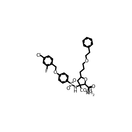 NC(=O)C1OC(CCCOCCc2ccccc2)CC1(NS(=O)(=O)c1ccc(OCc2ccc(Cl)cc2F)cc1)C(=O)O